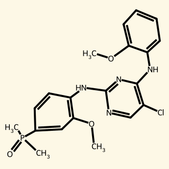 COc1cc(P(C)(C)=O)ccc1Nc1ncc(Cl)c(Nc2ccccc2OC)n1